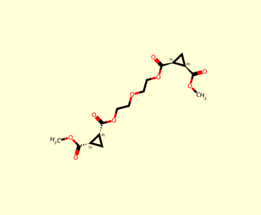 COC(=O)[C@H]1C[C@H]1C(=O)OCCOCCOC(=O)[C@H]1C[C@H]1C(=O)OC